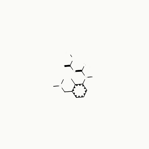 CCN(C(N)=NC(=O)OC(C)(C)C)c1cccc(CN(C)C)c1C